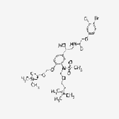 C[Si](C)(C)CCOCOc1ccc(C(O)CNC(=O)COc2ccc(Br)c(Cl)c2)cc1N(COCC[Si](C)(C)C)S(C)(=O)=O